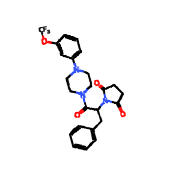 O=C(C(Cc1ccccc1)N1C(=O)CCC1=O)N1CCN(c2cccc(OC(F)(F)F)c2)CC1